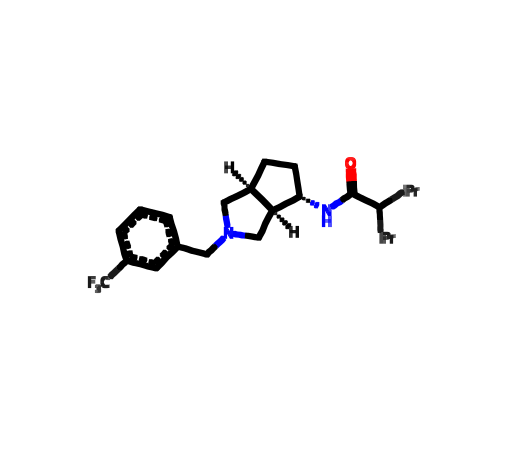 CC(C)C(C(=O)N[C@H]1CC[C@@H]2CN(Cc3cccc(C(F)(F)F)c3)C[C@@H]21)C(C)C